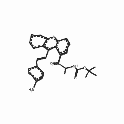 CC(NC(=O)OC(C)(C)C)C(=O)c1cccc2nc3ccccc3c(/C=C/c3ccc(N)cc3)c12